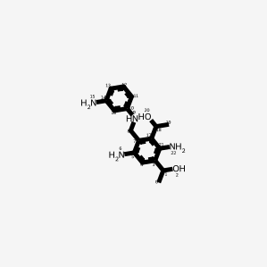 CC(O)c1cc(N)c(CNc2cccc(N)c2)c(C(C)O)c1N